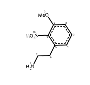 COc1cccc(CCN)c1S(=O)(=O)O